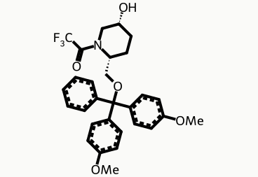 COc1ccc(C(OC[C@H]2CC[C@@H](O)CN2C(=O)C(F)(F)F)(c2ccccc2)c2ccc(OC)cc2)cc1